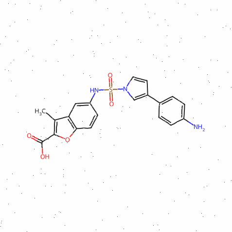 Cc1c(C(=O)O)oc2ccc(NS(=O)(=O)n3ccc(-c4ccc(N)cc4)c3)cc12